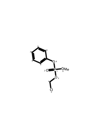 COP(=O)(OCCl)Oc1ccccc1